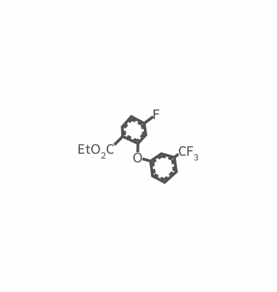 CCOC(=O)c1ccc(F)cc1Oc1cccc(C(F)(F)F)c1